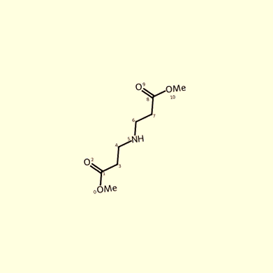 COC(=O)CCNCCC(=O)OC